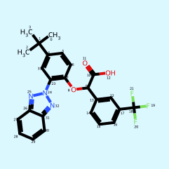 CC(C)(C)c1ccc(OC(C(=O)O)c2cccc(C(F)(F)F)c2)c(-n2nc3ccccc3n2)c1